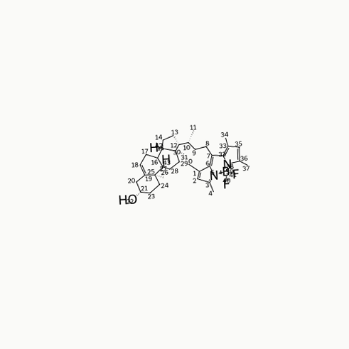 CC1=CC(C)=[N+]2C1=C(CC[C@@H](C)[C@H]1CC[C@H]3C4CC=C5C[C@@H](O)CC[C@]5(C)[C@H]4CC[C@]13C)c1c(C)cc(C)n1[B-]2(F)F